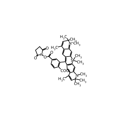 CC1=CC(C)(C)N(C)c2cc3c(cc21)C(c1cc(C(=O)ON2C(=O)CCC2=O)ccc1C(=O)[O-])=c1cc2c(cc1[Si]3(C)C)=[N+](C)C(C)(C)C=C2C